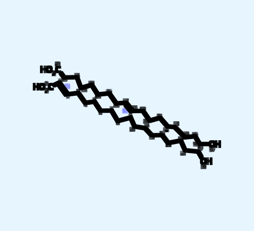 O=C(O)/C=C/CCCCCCCCCCCCCCCO.O=C(O)CCCCCCC/C=C/CCCCCCCCO